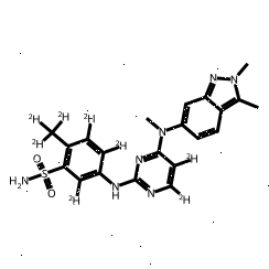 [2H]c1nc(Nc2c([2H])c([2H])c(C([2H])([2H])[2H])c(S(N)(=O)=O)c2[2H])nc(N(C)c2ccc3c(C)n(C)nc3c2)c1[2H]